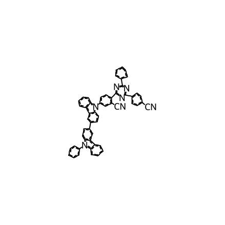 N#Cc1ccc(-c2nc(-c3ccccc3)nc(-c3ccc(-n4c5ccccc5c5cc(-c6ccc7c(c6)c6ccccc6n7-c6ccccc6)ccc54)cc3C#N)n2)cc1